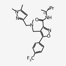 Cc1cc(CN(C)Cc2c(C(=O)N[C@@H](C)C(C)C)noc2-c2ccc(C(F)(F)F)cc2)nn1C